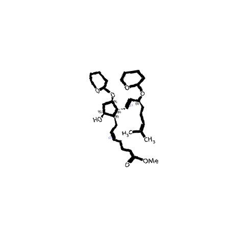 COC(=O)CCC/C=C\C[C@@H]1[C@@H](/C=C/[C@H](CCC=C(C)C)OC2CCCCO2)[C@H](OC2CCCCO2)C[C@@H]1O